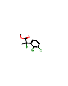 COC(=O)C(C)(F)c1cccc(Cl)c1Br